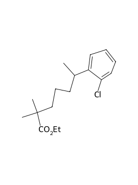 CCOC(=O)C(C)(C)CCCC(C)c1ccccc1Cl